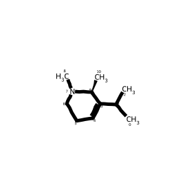 CC(C)C1=CCCN(C)[C@H]1C